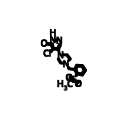 CS(=O)(=O)c1ccccc1CN1CCN(c2cn[nH]c(=O)c2Cl)CC1